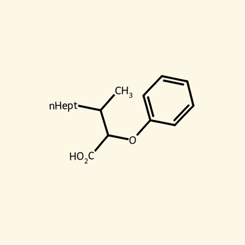 CCCCCCCC(C)C(Oc1ccccc1)C(=O)O